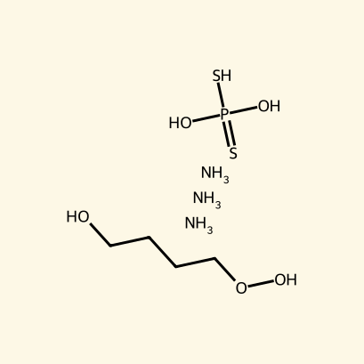 N.N.N.OCCCCOO.OP(O)(=S)S